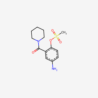 CS(=O)(=O)Oc1ccc(N)cc1C(=O)N1CCCCC1